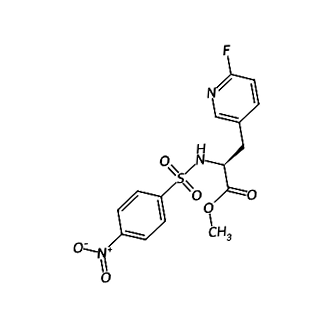 COC(=O)[C@H](Cc1ccc(F)nc1)NS(=O)(=O)c1ccc([N+](=O)[O-])cc1